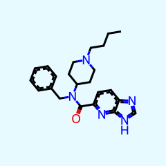 CCCCN1CCC(N(Cc2ccccc2)C(=O)c2ccc3nc[nH]c3n2)CC1